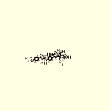 COc1ccc(C(=O)NC(=O)Nc2ccc3c(c2)NC(=O)C3=Cc2[nH]c(C)c(CC(=O)O)c2C)cc1